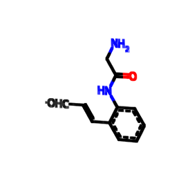 NCC(=O)Nc1ccccc1/C=C/[C]=O